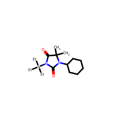 CC[Si](CC)(CC)N1C(=O)N(C2CCCCC2)C(C)(C)C1=O